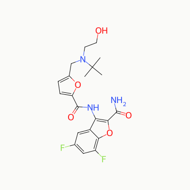 CC(C)(C)N(CCO)Cc1ccc(C(=O)Nc2c(C(N)=O)oc3c(F)cc(F)cc23)o1